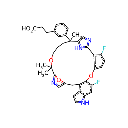 CC1(C)OCCCC(C)(c2cccc(CCC(=O)O)c2)c2cnc([nH]2)-c2cc(ccc2F)Oc2c(F)cc3[nH]ccc3c2Cc2cnc1o2